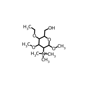 CCOC1C(CO)OC(OC)C([N+](C)(C)C)C1OC